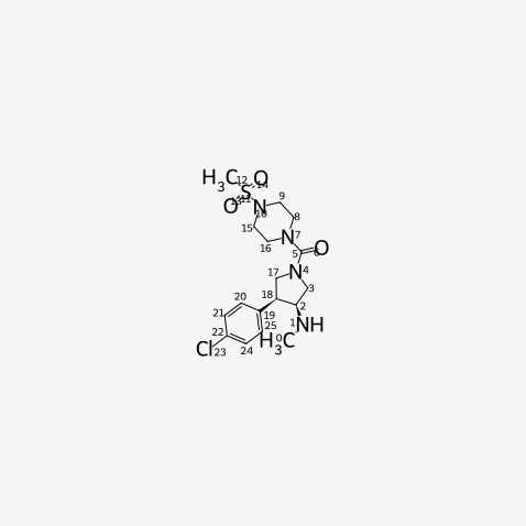 CN[C@@H]1CN(C(=O)N2CCN(S(C)(=O)=O)CC2)C[C@@H]1c1ccc(Cl)cc1